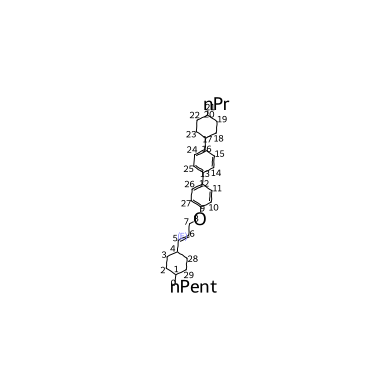 CCCCCC1CCC(/C=C/COc2ccc(-c3ccc(C4CCC(CCC)CC4)cc3)cc2)CC1